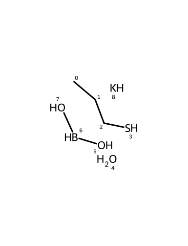 CCCS.O.OBO.[KH]